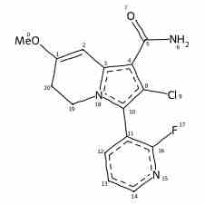 COC1=Cc2c(C(N)=O)c(Cl)c(-c3cccnc3F)n2CC1